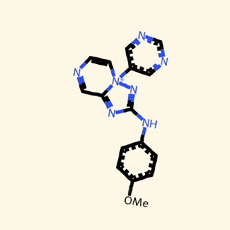 COc1ccc(NC2=N[N+]3(c4cncnc4)C=CN=CC3=N2)cc1